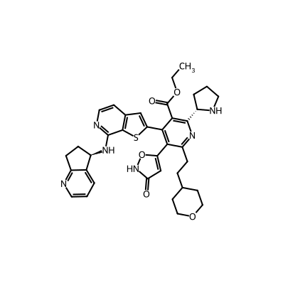 CCOC(=O)c1c([C@@H]2CCCN2)nc(CCC2CCOCC2)c(-c2cc(=O)[nH]o2)c1-c1cc2ccnc(N[C@@H]3CCc4ncccc43)c2s1